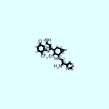 CCC1C(/C(=C/C=N)Nc2cc(Cl)ccc2C(F)(F)F)CC2CC2C1N/C=C(\N)c1cscn1